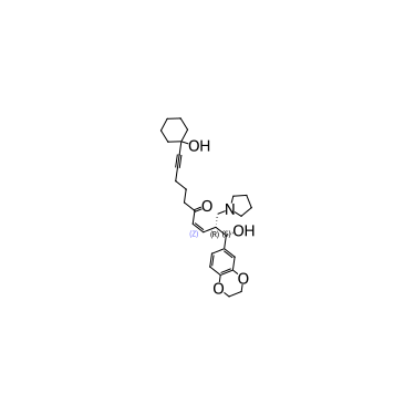 O=C(/C=C\[C@H](CN1CCCC1)[C@H](O)c1ccc2c(c1)OCCO2)CCCC#CC1(O)CCCCC1